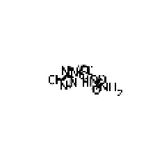 NS(=O)(=O)NCC1[CH][CH]C(n2cnc3c(Cl)ncnc32)O1